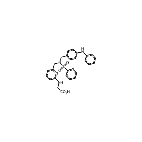 O=C(O)CNc1cccc(CN(Cc2ccc(Nc3ccccc3)cc2)S(=O)(=O)c2ccccn2)n1